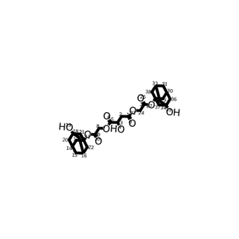 O=C(CC(O)C(=O)OCC(=O)OC12CC3CC(CC(O)(C3)C1)C2)OCC(=O)OC12CC3CC(CC(O)(C3)C1)C2